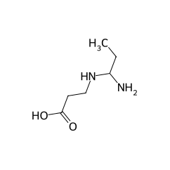 CCC(N)NCCC(=O)O